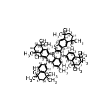 Cc1cc2c3c(c1)N(c1ccc4c(c1)C(C)(C)CCC4(C)C)c1c(sc4cc5c(cc14)C(C)(C)CCC5(C)C)B3c1cc3c(cc1N2c1ccc2c(c1)C(C)(C)CCC2(C)C)C(C)(C)CCC3(C)C